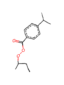 CC[C](C)OOC(=O)c1ccc(C(C)C)cc1